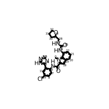 Cn1c(C(=O)Nc2ccc(Cl)cc2-c2nnn[nH]2)cc2cccc(NC(=O)NCC3CCCO3)c21